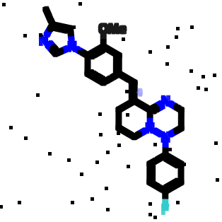 COc1cc(/C=C2\CCCN3C2=NCCN3c2ccc(F)cc2)ccc1-n1cnc(C)c1